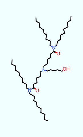 CCCCCCCCCCN(CCCCCCCCCC)C(=O)CCCCCN(CCCCCO)CCCCCC(=O)N(CCCCCCCCCC)CCCCCCCCCC